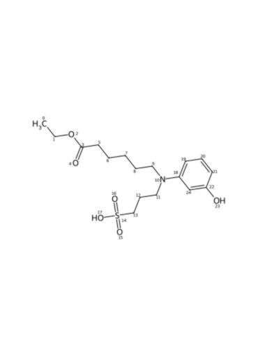 CCOC(=O)CCCCCN(CCCS(=O)(=O)O)c1cccc(O)c1